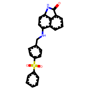 O=C1Nc2ccc(NCc3ccc(S(=O)(=O)c4ccccc4)cc3)c3cccc1c23